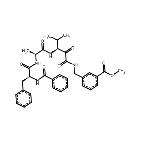 COC(=O)c1cccc(CNC(=O)C(=O)[C@@H](NC(=O)[C@H](C)NC(=O)[C@H](Cc2ccccc2)NC(=O)c2ccccc2)C(C)C)c1